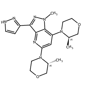 C[C@@H]1COCCN1c1cc(N2CCOC[C@H]2C)c2c(n1)c(-c1cc[nH]n1)nn2C